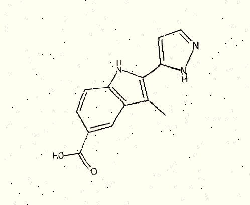 Cc1c(-c2ccn[nH]2)[nH]c2ccc(C(=O)O)cc12